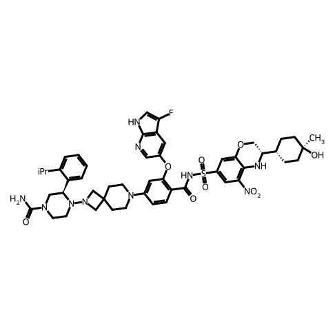 CC(C)c1ccccc1[C@@H]1CN(C(N)=O)CCN1N1CC2(CCN(c3ccc(C(=O)NS(=O)(=O)c4cc5c(c([N+](=O)[O-])c4)N[C@@H]([C@H]4CC[C@](C)(O)CC4)CO5)c(Oc4cnc5[nH]cc(F)c5c4)c3)CC2)C1